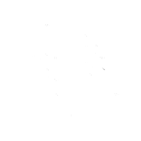 COc1ccc(N(C)C(=O)[C@H](Cc2ccccc2)NC(=O)NS(=O)(=O)Nc2ccc3c(c2)CCC3c2cc(OC)ccc2N(C)C(=O)C(Cc2ccccc2)NC(=O)NS(=O)(=O)Nc2cccc(F)c2)cc1